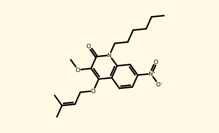 CCCCCCn1c(=O)c(OC)c(OCC=C(C)C)c2ccc([N+](=O)[O-])cc21